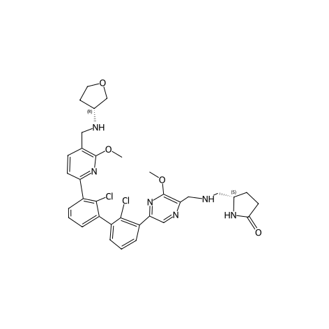 COc1nc(-c2cccc(-c3cccc(-c4cnc(CNC[C@@H]5CCC(=O)N5)c(OC)n4)c3Cl)c2Cl)ccc1CN[C@@H]1CCOC1